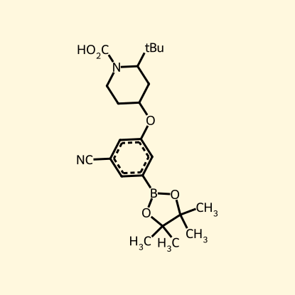 CC(C)(C)C1CC(Oc2cc(C#N)cc(B3OC(C)(C)C(C)(C)O3)c2)CCN1C(=O)O